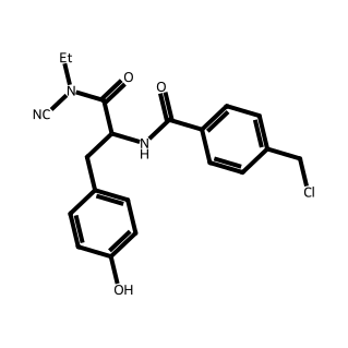 CCN(C#N)C(=O)C(Cc1ccc(O)cc1)NC(=O)c1ccc(CCl)cc1